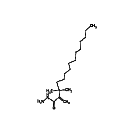 C=C(C(=O)NN)C(C)(C)CCCCCCCCCCCC